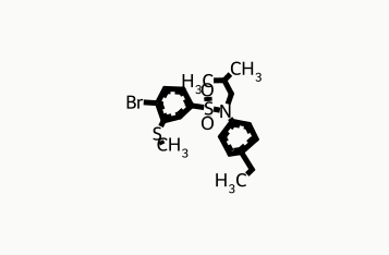 CCc1ccc(N(CC(C)C)S(=O)(=O)c2ccc(Br)c(SC)c2)cc1